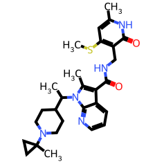 CSc1cc(C)[nH]c(=O)c1CNC(=O)c1c(C)n(C(C)C2CCN(C3(C)CC3)CC2)c2ncccc12